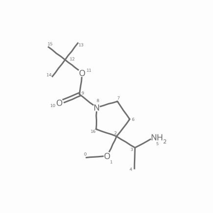 COC1(C(C)N)CCN(C(=O)OC(C)(C)C)C1